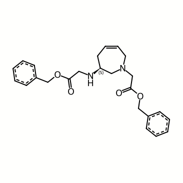 O=C(CN[C@H]1CC=CCN(CC(=O)OCc2ccccc2)C1)OCc1ccccc1